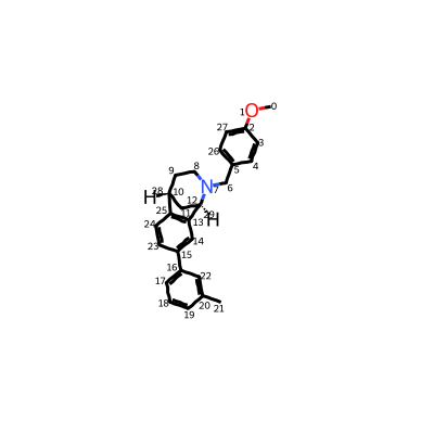 COc1ccc(CN2CC[C@@H]3C[C@@H]2c2cc(-c4cccc(C)c4)ccc23)cc1